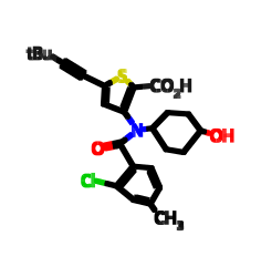 Cc1ccc(C(=O)N(c2cc(C#CC(C)(C)C)sc2C(=O)O)C2CCC(O)CC2)c(Cl)c1